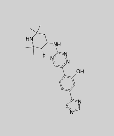 CC1(C)C[C@H](Nc2ncc(-c3ccc(-c4ncns4)cc3O)nn2)[C@H](F)C(C)(C)N1